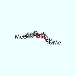 COc1ccc(COc2cccc(OBOc3cccc(OCc4ccc(OC)cc4)c3)c2)cc1